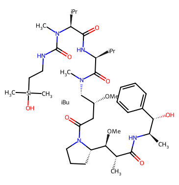 CC[C@H](C)[C@@H]([C@@H](CC(=O)N1CCC[C@H]1[C@@H](OC)[C@@H](C)C(=O)N[C@H](C)[C@@H](O)c1ccccc1)OC)N(C)C(=O)[C@@H](NC(=O)[C@H](C(C)C)N(C)C(=O)NCC[Si](C)(C)O)C(C)C